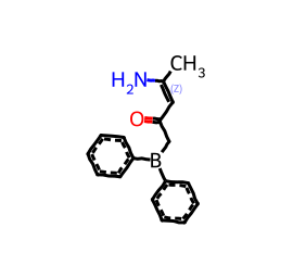 C/C(N)=C/C(=O)CB(c1ccccc1)c1ccccc1